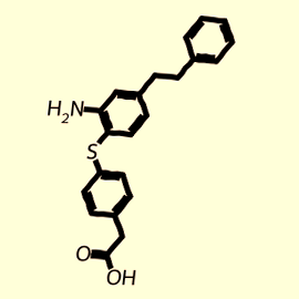 Nc1cc(CCc2ccccc2)ccc1Sc1ccc(CC(=O)O)cc1